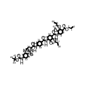 C=CCOC(=O)c1ccc(NC(=O)c2ccc(NC(=O)c3ccc(NC(=O)[C@H](CC#N)NS(=O)(=O)c4ccc(NC(=O)OC(C)(C)C)cc4)cc3)c(OC)c2OCC=C)c(OC)c1OCC=C